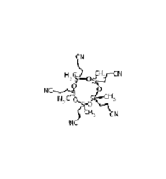 C[Si]1(CCC#N)O[Si](C)(CCC#N)O[Si](C)(CCC#N)O[Si](C)(CCC#N)O[Si](C)(CCC#N)O1